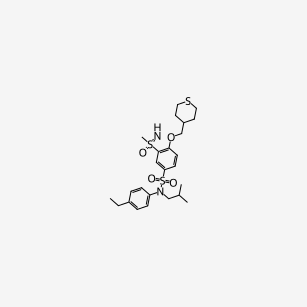 CCc1ccc(N(CC(C)C)S(=O)(=O)c2ccc(OCC3CCSCC3)c(S(C)(=N)=O)c2)cc1